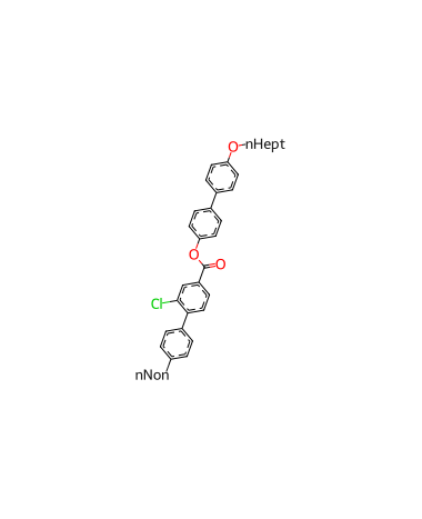 CCCCCCCCCc1ccc(-c2ccc(C(=O)Oc3ccc(-c4ccc(OCCCCCCC)cc4)cc3)cc2Cl)cc1